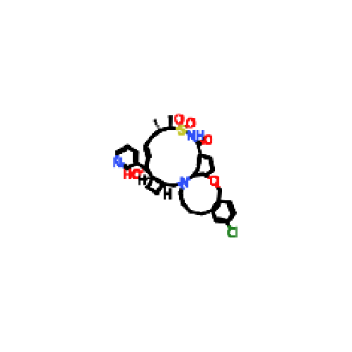 C[C@@H]1[C@@H](C)C/C=C/[C@](O)(c2cccnc2)[C@@H]2CC[C@H]2CN2CCCCc3cc(Cl)ccc3COc3ccc(cc32)C(=O)NS1(=O)=O